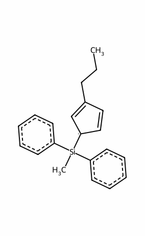 CCCC1=C[C]([Si](C)(c2ccccc2)c2ccccc2)C=C1